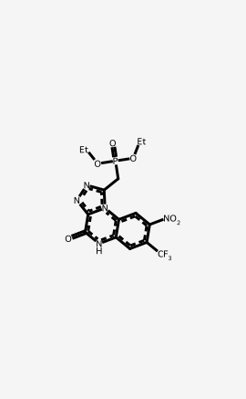 CCOP(=O)(Cc1nnc2c(=O)[nH]c3cc(C(F)(F)F)c([N+](=O)[O-])cc3n12)OCC